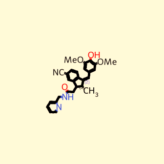 COc1cc(/C=C2\c3ccc(C#N)cc3C(CC(=O)NCc3ccccn3)[C@@H]2C)cc(OC)c1O